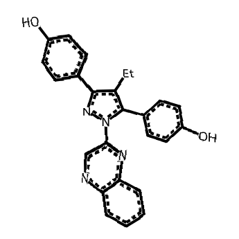 CCc1c(-c2ccc(O)cc2)nn(-c2cnc3ccccc3n2)c1-c1ccc(O)cc1